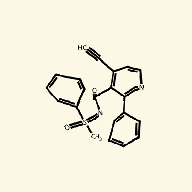 C#Cc1ccnc(-c2ccccc2)c1C(=O)N=S(C)(=O)c1ccccc1